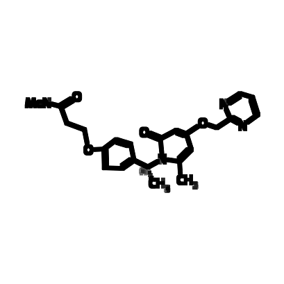 CNC(=O)CCOc1ccc([C@@H](C)n2c(C)cc(OCc3ncccn3)cc2=O)cc1